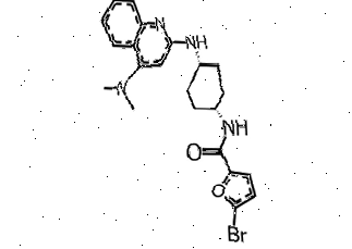 CN(C)c1cc(N[C@H]2CC[C@@H](NC(=O)c3ccc(Br)o3)CC2)nc2ccccc12